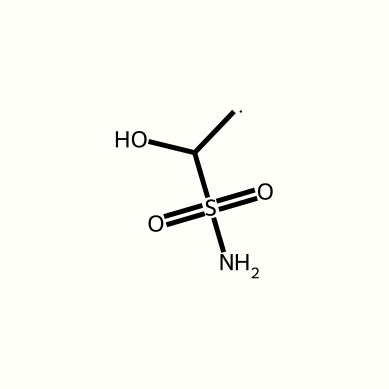 [CH2]C(O)S(N)(=O)=O